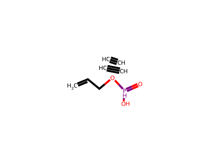 C#C.C#C.C=CCO[PH](=O)O